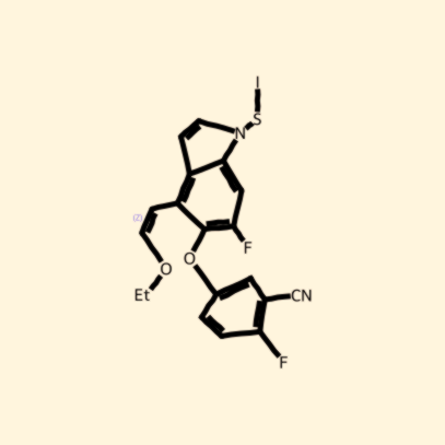 CCO/C=C\c1c(Oc2ccc(F)c(C#N)c2)c(F)cc2c1ccn2SI